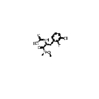 CON(C)C(=O)C(Cc1cccc(Cl)c1F)NC(=O)O